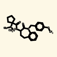 CC(C)(C)N(C(=O)O)C1(C(=O)NC2CCc3ccccc3N(Cc3ccc(OC(F)(F)F)cc3)C2=O)CCCC1